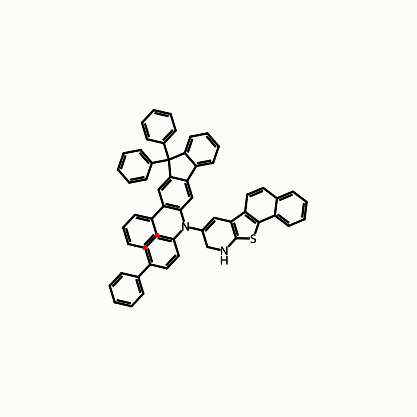 C1=C(N(c2ccc(-c3ccccc3)cc2)c2cc3c(cc2-c2ccccc2)C(c2ccccc2)(c2ccccc2)c2ccccc2-3)CNc2sc3c(ccc4ccccc43)c21